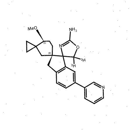 [2H]C1([2H])OC(N)=NC12c1cc(-c3cccnc3)ccc1C[C@@]21CC[C@H](OC)C2(CC2)C1